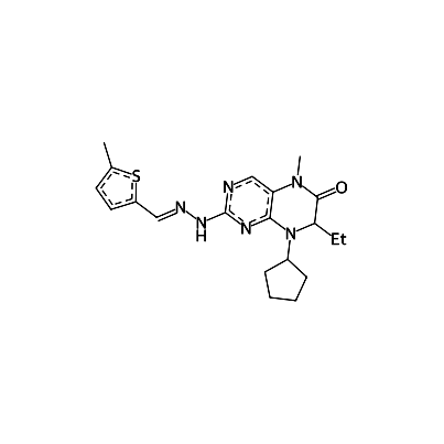 CCC1C(=O)N(C)c2cnc(N/N=C/c3ccc(C)s3)nc2N1C1CCCC1